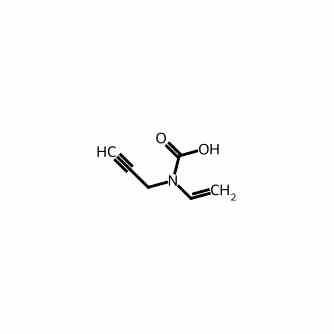 C#CCN(C=C)C(=O)O